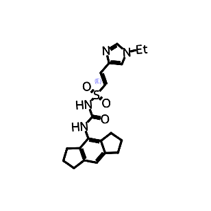 CCn1cnc(/C=C/S(=O)(=O)NC(=O)Nc2c3c(cc4c2CCC4)CCC3)c1